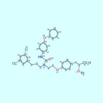 CCOC(Cc1ccc(OCCN(CCCc2cc(Cl)cc(Cl)c2)C(=O)Nc2ccc(Oc3ccccc3)cc2)cc1)C(=O)O